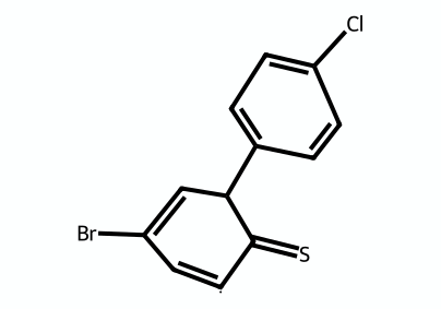 S=C1[C]=CC(Br)=CC1c1ccc(Cl)cc1